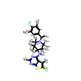 [2H]c1nc(N([2H])C2([2H])C([2H])([2H])C([2H])([2H])N(C([2H])c3cc([2H])c(F)c(C#N)c3)C([2H])([2H])C2([2H])[2H])c2c([2H])c(Cl)sc2n1